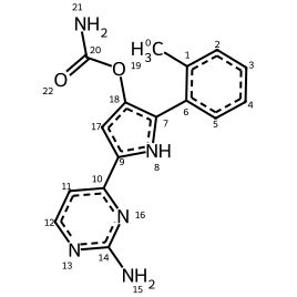 Cc1ccccc1-c1[nH]c(-c2ccnc(N)n2)cc1OC(N)=O